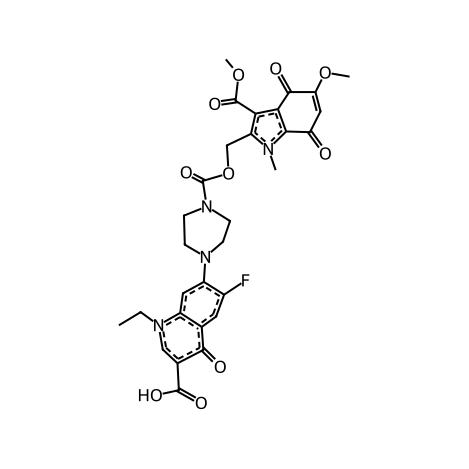 CCn1cc(C(=O)O)c(=O)c2cc(F)c(N3CCN(C(=O)OCc4c(C(=O)OC)c5c(n4C)C(=O)C=C(OC)C5=O)CC3)cc21